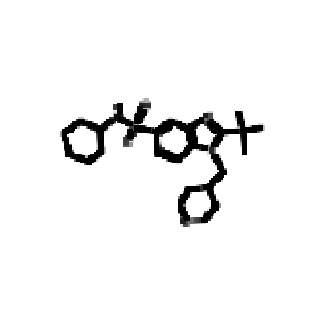 CC(C)(C)c1nc2cc(S(=O)(=O)NC3CCCCC3)ccc2n1CC1CCOCC1